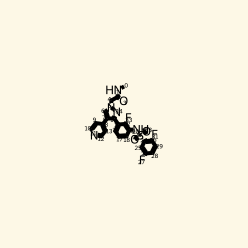 CNC(=O)Cn1cc(-c2ccncc2)c(-c2cccc(NS(=O)(=O)c3cc(F)ccc3F)c2F)n1